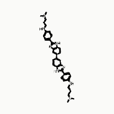 CN(C)CCCNc1ccc(-c2nc3cc(-c4ccc5[nH]c(-c6ccc(NCCCN(C)C)cc6)nc5c4)ccc3[nH]2)cc1